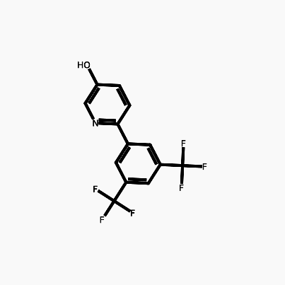 Oc1ccc(-c2cc(C(F)(F)F)cc(C(F)(F)F)c2)nc1